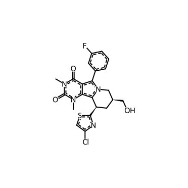 Cn1c(=O)c2c(-c3cccc(F)c3)n3c(c2n(C)c1=O)[C@H](c1nc(Cl)cs1)C[C@H](CO)C3